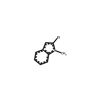 [CH2]Cc1cc2ccccc2n1C